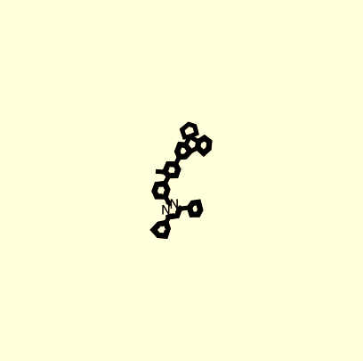 Cc1cc(-c2ccc3c(c2)-c2ccccc2C32CCCCC2)ccc1-c1cccc(-c2nc(-c3ccccc3)cc(-c3ccccc3)n2)c1